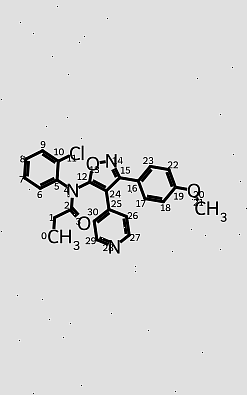 CCC(=O)N(c1ccccc1Cl)c1onc(-c2ccc(OC)cc2)c1-c1ccncc1